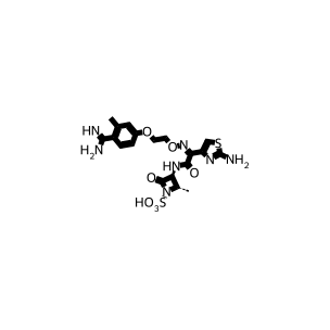 Cc1cc(OCCON=C(C(=O)N[C@@H]2C(=O)N(S(=O)(=O)O)[C@H]2C)c2csc(N)n2)ccc1C(=N)N